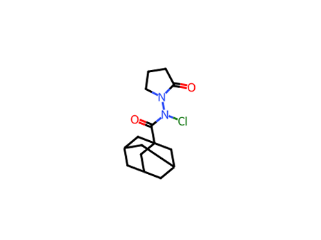 O=C1CCCN1N(Cl)C(=O)C12CC3CC(CC(C3)C1)C2